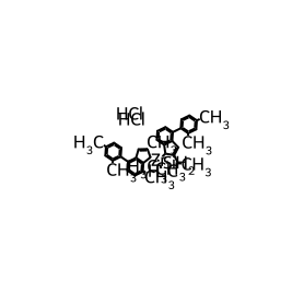 CC1=Cc2c(-c3ccc(C)cc3C)ccc(C)c2[CH]1[Zr]([CH3])([CH3])(=[SiH2])[CH]1C(C(C)C)=Cc2c(-c3ccc(C)cc3C)cccc21.Cl.Cl